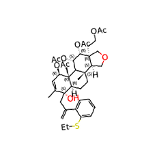 C=C(C[C@@]1(O)C(C)=C[C@@H](OC(C)=O)[C@]2(C)C3[C@H](OC(C)=O)[C@H](OC(C)=O)[C@@]4(CCOC(C)=O)COC[C@H]4[C@]3(C)CC[C@H]21)c1ccccc1SCC